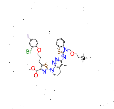 COC(=O)c1nc(N2CCCc3c2nnc(/N=c2\sc4ccccc4n2COCC[Si](C)(C)C)c3C)sc1CCCOc1ccc(I)cc1Br